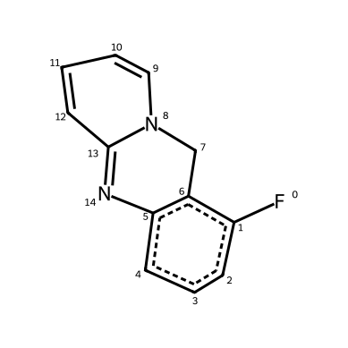 Fc1cccc2c1CN1C=CC=CC1=N2